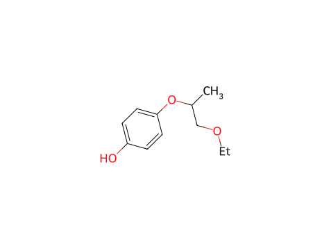 CCOCC(C)Oc1ccc(O)cc1